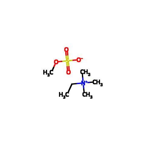 CC[N+](C)(C)C.COS(=O)(=O)[O-]